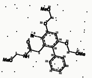 COCNC(=O)Cc1c(Br)c(OCOC)cc(OCOC)c1-c1ccccc1